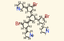 Brc1cc(-c2cccnc2)cc(-c2cc(-c3cc(Br)cc(-c4cccnc4)c3)cc(-c3cc(Br)cc(-c4cccnc4)c3)c2)c1